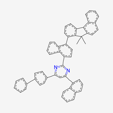 CC1(C)c2ccc3ccccc3c2-c2cccc(-c3ccc(-c4nc(-c5ccc(-c6ccccc6)cc5)cc(-c5cccc6ccccc56)n4)c4ccccc34)c21